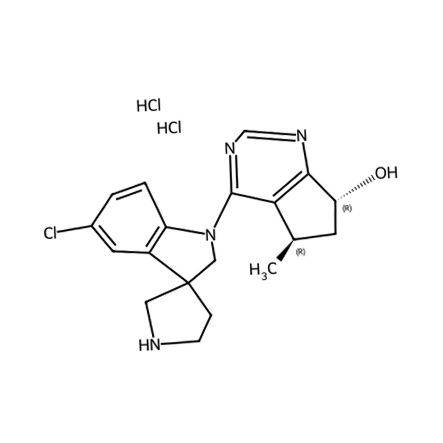 C[C@@H]1C[C@@H](O)c2ncnc(N3CC4(CCNC4)c4cc(Cl)ccc43)c21.Cl.Cl